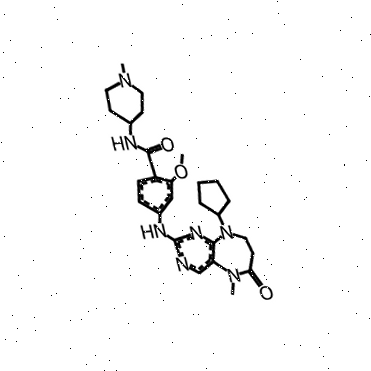 COc1cc(Nc2ncc3c(n2)N(C2CCCC2)CCC(=O)N3C)ccc1C(=O)NC1CCN(C)CC1